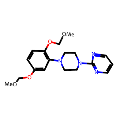 COCOc1ccc(OCOC)c(N2CCN(c3ncccn3)CC2)c1